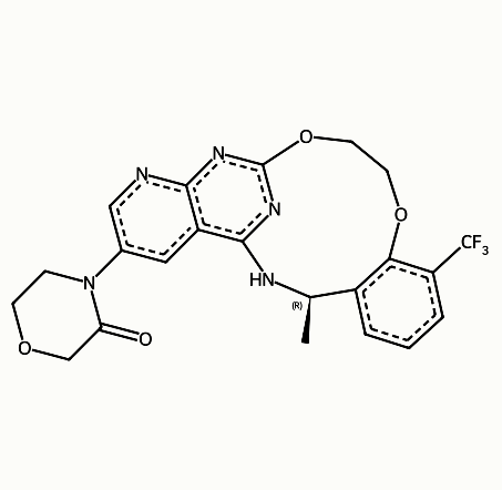 C[C@H]1Nc2nc(nc3ncc(N4CCOCC4=O)cc23)OCCOc2c1cccc2C(F)(F)F